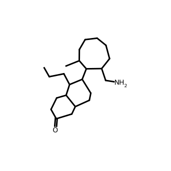 CCCC1C2CCC(=O)CC2CCC1C1C(C)CCCCCC1CN